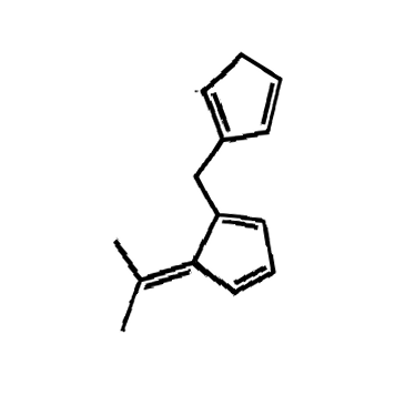 CC(C)=C1C=CC=C1CC1=[C]CC=C1